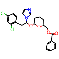 O=C(OCC1CCCC(OC(Cc2ccc(Cl)cc2Cl)n2ccnc2)O1)c1ccccc1